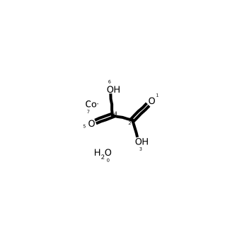 O.O=C(O)C(=O)O.[Co]